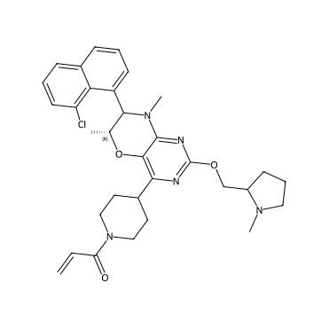 C=CC(=O)N1CCC(c2nc(OCC3CCCN3C)nc3c2O[C@H](C)C(c2cccc4cccc(Cl)c24)N3C)CC1